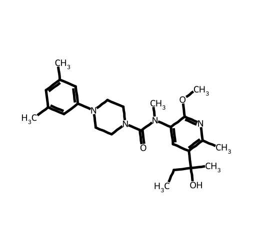 CCC(C)(O)c1cc(N(C)C(=O)N2CCN(c3cc(C)cc(C)c3)CC2)c(OC)nc1C